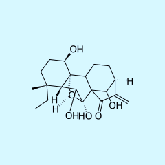 C=C1C(=O)C23C(O)[C@H]1CCC2[C@@]12CO[C@@]3(O)[C@@H](O)[C@@H]1[C@](C)(CC)CC[C@H]2O